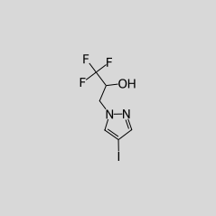 OC(Cn1cc(I)cn1)C(F)(F)F